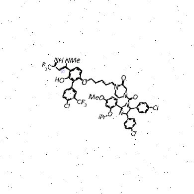 CN/C(=C\C(=N)C(F)(F)F)c1ccc(OCCCCCN2CCN(C(=O)N3C(c4ccc(OC)cc4OC(C)C)=NC(c4ccc(Cl)cc4)C3c3ccc(Cl)cc3)CC2=O)c(-c2ccc(Cl)c(C(F)(F)F)c2)c1O